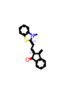 C=C1/C(=C\C=C2/Sc3ccccc3N2C)C(=O)c2ccccc21